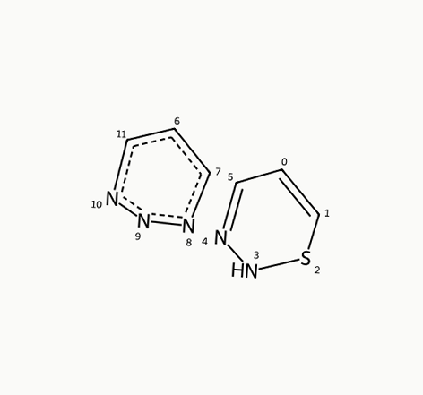 C1=CSNN=C1.c1cnnnc1